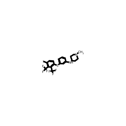 CN1CCC(Nc2cccc(Sc3ccc(I)c(C(F)(F)F)c3C(F)(F)F)c2)CC1